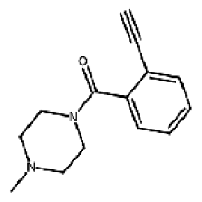 C#Cc1ccccc1C(=O)N1CCN(C)CC1